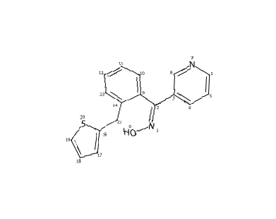 ON=C(c1cccnc1)c1ccccc1Cc1cccs1